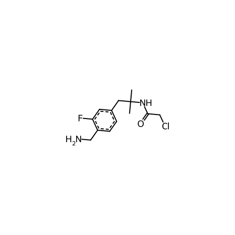 CC(C)(Cc1ccc(CN)c(F)c1)NC(=O)CCl